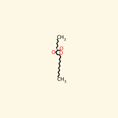 CCCCCCCCCCCC1CC(=O)[C@@H](CCCCCC)C(=O)O1